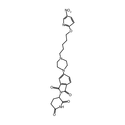 O=C1CCC(N2C(=O)c3ccc(N4CCN(CCCCCOc5ccc([N+](=O)[O-])cn5)CC4)cc3C2=O)C(=O)N1